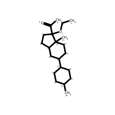 CCOC1(C(C)=O)CCC2CC(C3CCC(C)CC3)CCC21C